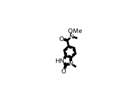 CON(C)C(=O)c1ccc2c(c1)[nH]c(=O)n2C